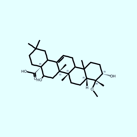 CO[C@]1(C)[C@@H]2CC[C@@]3(C)C(CC=C4C5CC(C)(C)CC[C@]5(C(=O)O)C(O)C[C@]43C)C2(C)CC[C@@H]1O